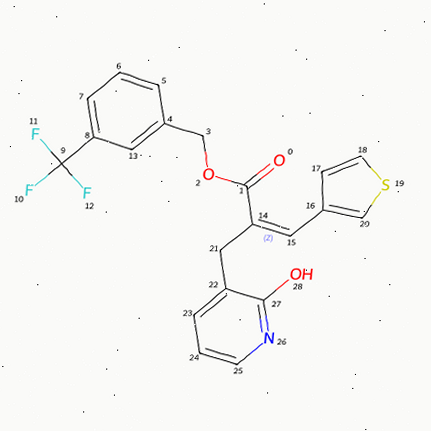 O=C(OCc1cccc(C(F)(F)F)c1)/C(=C\c1ccsc1)Cc1cccnc1O